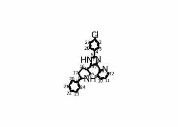 Clc1ccc(-c2nc(-c3ccccn3)c(C3CCC(c4ccccc4)NC3)[nH]2)cc1